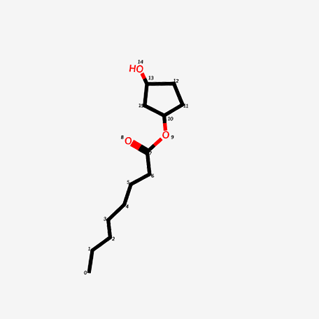 CCCCCCCC(=O)OC1CCC(O)C1